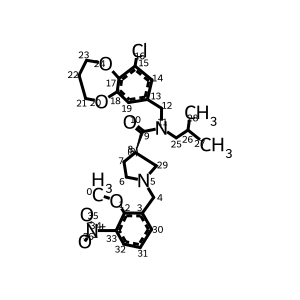 COc1c(CN2CC[C@@H](C(=O)N(Cc3cc(Cl)c4c(c3)OCCCO4)CC(C)C)C2)cccc1[N+](=O)[O-]